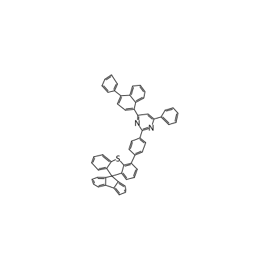 c1ccc(-c2cc(-c3ccc(-c4ccccc4)c4ccccc34)nc(-c3ccc(-c4cccc5c4Sc4ccccc4C54c5ccccc5-c5ccccc54)cc3)n2)cc1